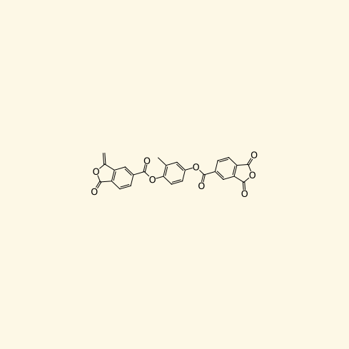 C=C1OC(=O)c2ccc(C(=O)Oc3ccc(OC(=O)c4ccc5c(c4)C(=O)OC5=O)cc3C)cc21